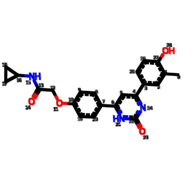 Cc1cc(-c2cc(-c3ccc(OCC(=O)NC4CC4)cc3)[nH]c(=O)n2)ccc1O